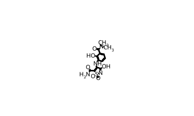 CN(C)C(=O)c1cccc(NC2=C(C(N)=O)S(=O)(=O)N=C2O)c1O